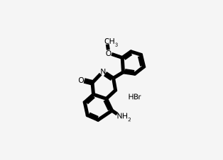 Br.COc1ccccc1C1=NC(=O)c2cccc(N)c2C1